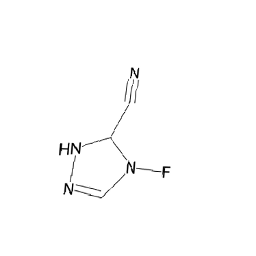 N#CC1NN=CN1F